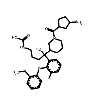 CCc1ccccc1Oc1c(Cl)cccc1C(O)(CCCNC(=O)O)C1CCCN(C(=O)C2CCC(N)C2)C1